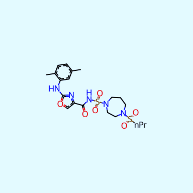 CCCS(=O)(=O)N1CCCN(S(=O)(=O)NC(=O)c2coc(Nc3cc(C)ccc3C)n2)CC1